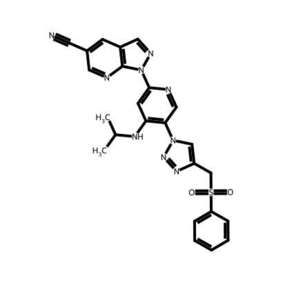 CC(C)Nc1cc(-n2ncc3cc(C#N)cnc32)ncc1-n1cc(CS(=O)(=O)c2ccccc2)nn1